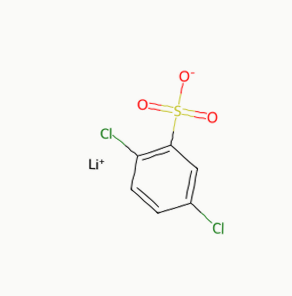 O=S(=O)([O-])c1cc(Cl)ccc1Cl.[Li+]